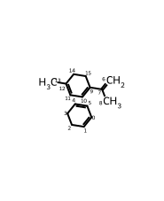 C1=CCCC=C1.C=C(C)C1=CC=C(C)CC1